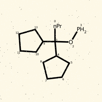 CCCC(OP)(C1CCCC1)C1CCCC1